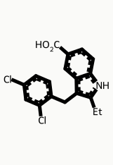 CCc1[nH]c2ccc(C(=O)O)cc2c1Cc1ccc(Cl)cc1Cl